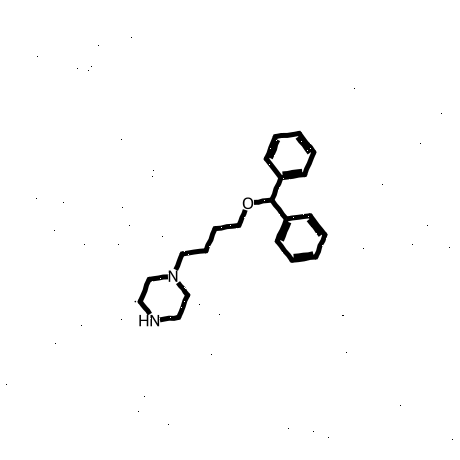 [CH]1CN(CCCCOC(c2ccccc2)c2ccccc2)CCN1